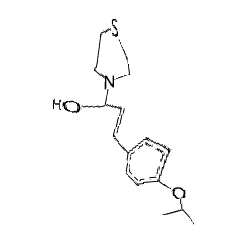 CC(C)Oc1ccc(/C=C/C(O)N2CCSCC2)cc1